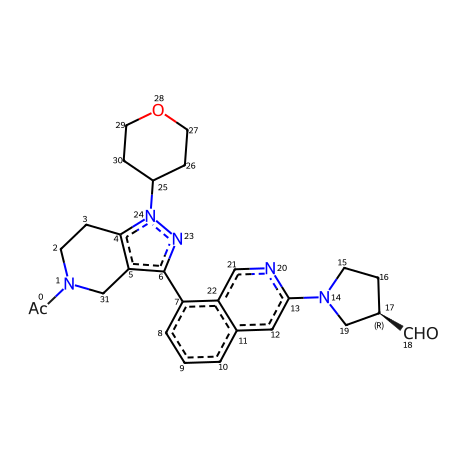 CC(=O)N1CCc2c(c(-c3cccc4cc(N5CC[C@@H](C=O)C5)ncc34)nn2C2CCOCC2)C1